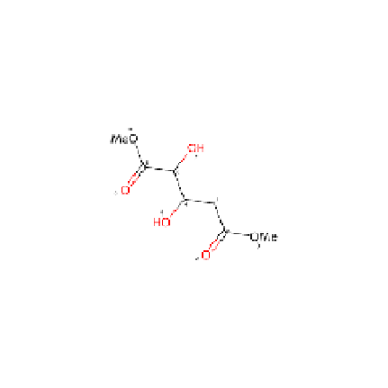 COC(=O)CC(O)C(O)C(=O)OC